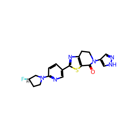 O=C1c2sc(-c3ccc(N4CC[C@@H](F)C4)nc3)nc2CCN1c1cn[nH]c1